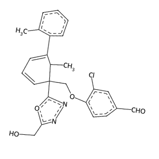 Cc1ccccc1C1=CC=CC(COc2ccc(C=O)cc2Cl)(c2nnc(CO)o2)C1C